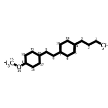 CCCCC1CCC(CCC2CCC(OC)CC2)CC1